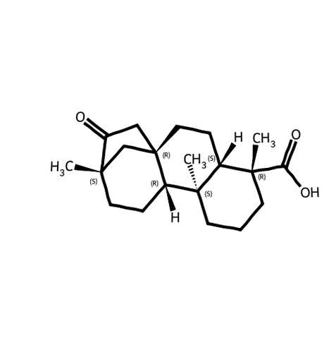 C[C@@]12CC[C@@H]3[C@@](CC[C@H]4[C@@]3(C)CCC[C@@]4(C)C(=O)O)(CC1=O)C2